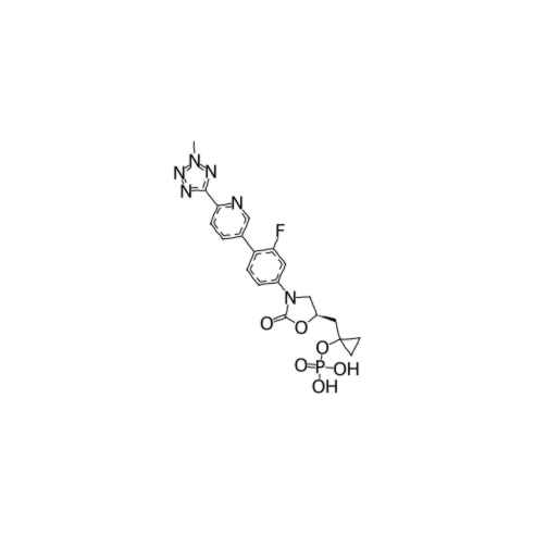 Cn1nnc(-c2ccc(-c3ccc(N4C[C@@H](CC5(OP(=O)(O)O)CC5)OC4=O)cc3F)cn2)n1